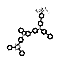 C[Si](C)(C)c1ccc(-c2ccc(N(c3ccc(-c4ccccc4)cc3)c3ccc(-c4ccc5c(c4)C4C=CC=CC4N5c4ccc(-c5nc(-c6ccccc6)nc(-c6ccccc6)n5)cc4)cc3)cc2)cc1